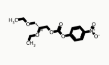 CCOC[C@H](COC(=O)Oc1ccc([N+](=O)[O-])cc1)OCC